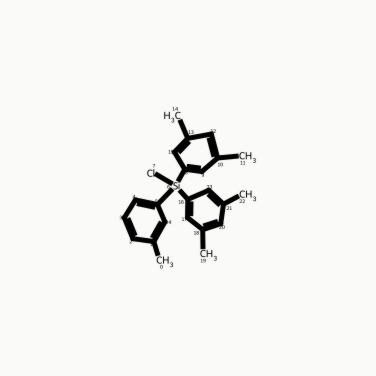 Cc1cccc([Si](Cl)(c2cc(C)cc(C)c2)c2cc(C)cc(C)c2)c1